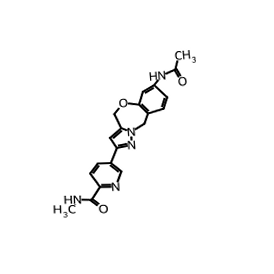 CNC(=O)c1ccc(-c2cc3n(n2)Cc2ccc(NC(C)=O)cc2OC3)cn1